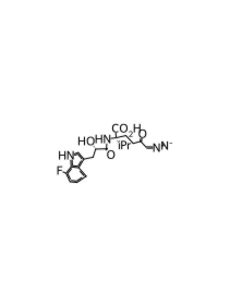 CC(C)[C@](CCC(=O)C=[N+]=[N-])(NC(=O)[C@@H](O)Cc1c[nH]c2c(F)cccc12)C(=O)O